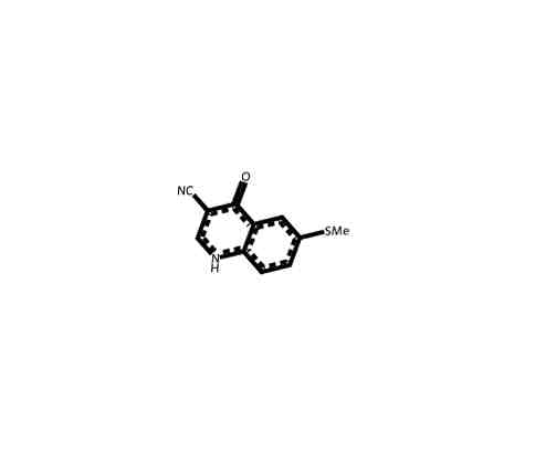 CSc1ccc2[nH]cc(C#N)c(=O)c2c1